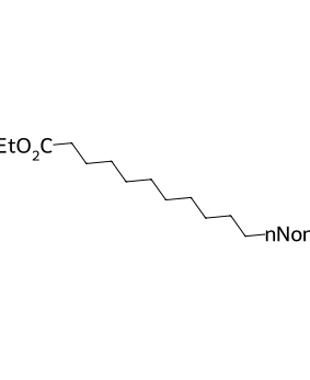 [CH2]COC(=O)CCCCCCCCCCCCCCCCCCC